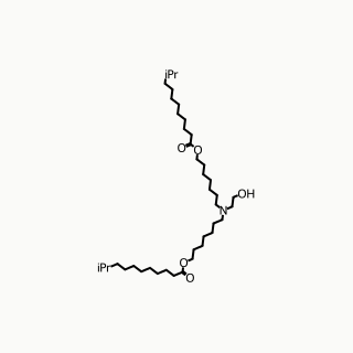 CC(C)CCCCCCCCC(=O)OCCCCCCCN(CCO)CCCCCCCOC(=O)CCCCCCCCC(C)C